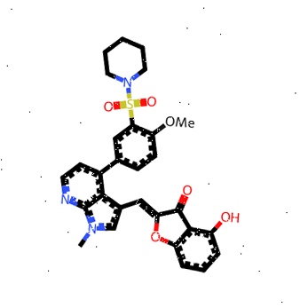 COc1ccc(-c2ccnc3c2c(C=C2Oc4cccc(O)c4C2=O)cn3C)cc1S(=O)(=O)N1CCCCC1